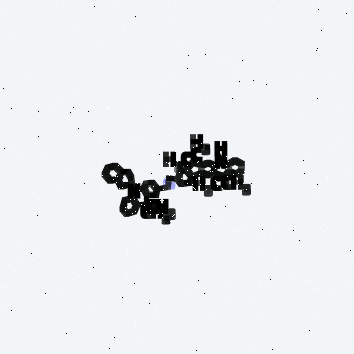 CC1(C)c2ccccc2Nc2cc3c(cc21)-c1ccc(/C=C/c2ccc4c(c2)C(C)(C)c2ccccc2N4c2ccc4ccccc4c2)cc1C3(C)C